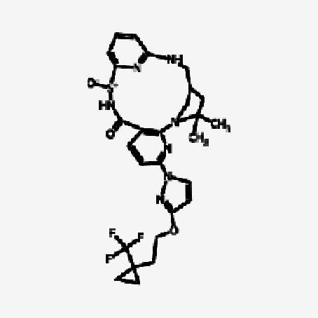 CC1(C)CC2CNc3cccc(n3)[S+]([O-])NC(=O)c3ccc(-n4ccc(OCCC5(C(F)(F)F)CC5)n4)nc3N1C2